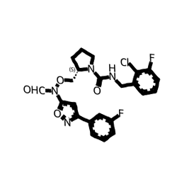 O=CN(OC[C@@H]1CCCN1C(=O)NCc1cccc(F)c1Cl)c1cc(-c2cccc(F)c2)no1